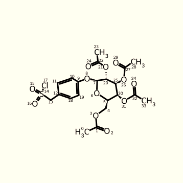 CC(=O)OC[C@H]1O[C@@H](Oc2ccc(CS(=O)(=O)Cl)cc2)[C@H](OC(C)=O)[C@@H](OC(C)=O)[C@H]1OC(C)=O